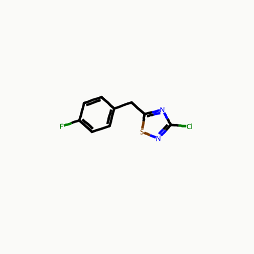 Fc1ccc(Cc2nc(Cl)ns2)cc1